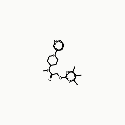 Cc1nc(OCC(=O)N(C)C2CCN(c3cccnc3)CC2)nc(C)c1C